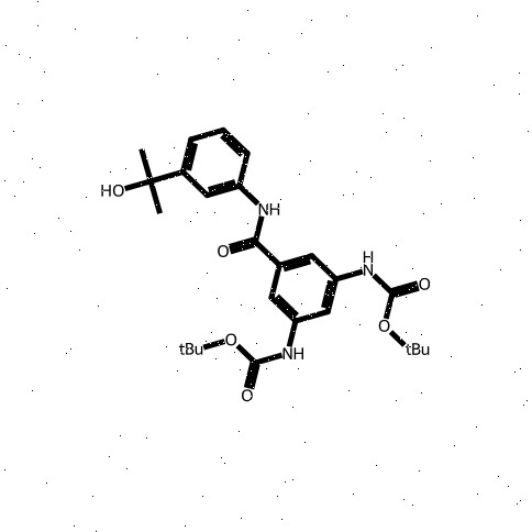 CC(C)(C)OC(=O)Nc1cc(NC(=O)OC(C)(C)C)cc(C(=O)Nc2cccc(C(C)(C)O)c2)c1